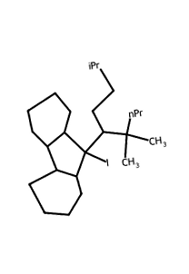 CCCC(C)(C)C(CCC(C)C)C1(I)C2CCCCC2C2CCCCC21